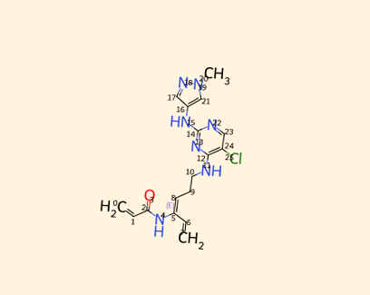 C=CC(=O)N/C(C=C)=C/CCNc1nc(Nc2cnn(C)c2)ncc1Cl